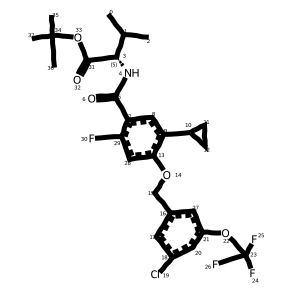 CC(C)[C@H](NC(=O)c1cc(C2CC2)c(OCc2cc(Cl)cc(OC(F)(F)F)c2)cc1F)C(=O)OC(C)(C)C